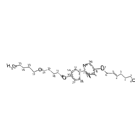 CCCC/C=C/COc1cnc(-c2ccc(OCCCCOCCCCC)cc2)nc1